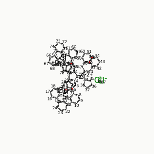 CC(C)(C)c1cc2c(cc1-c1ccccc1[Si](c1ccccc1)(c1ccccc1)c1ccccc1)[CH]([Zr+2]([C]1=CC=CC1)=[C](Cc1ccccc1)Cc1ccccc1)c1cc(-c3ccccc3[Si](c3ccccc3)(c3ccccc3)c3ccccc3)c(C(C)(C)C)cc1-2.[Cl-].[Cl-]